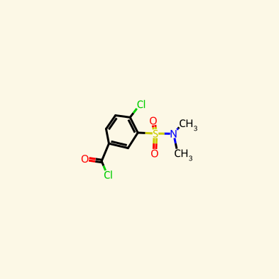 CN(C)S(=O)(=O)c1cc(C(=O)Cl)ccc1Cl